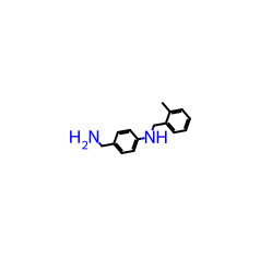 Cc1ccccc1CNc1ccc(CN)cc1